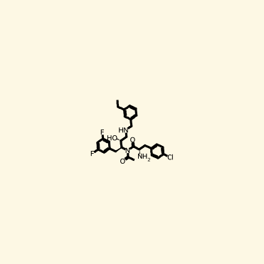 CCc1cccc(CNC[C@@H](O)[C@H](Cc2cc(F)cc(F)c2)N(C(C)=O)C(=O)[C@@H](N)Cc2ccc(Cl)cc2)c1